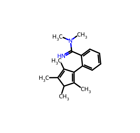 CC1=C(C)C(C)C(C)=C1c1ccccc1C(=N)N(C)C